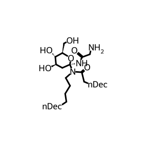 CCCCCCCCCCCCCCN(C(=O)CCCCCCCCCCC)[C@@]1(NC(=O)CN)C[C@@H](O)[C@H](O)[C@@H](CO)O1